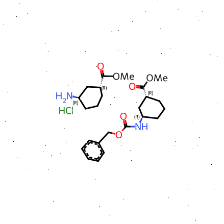 COC(=O)[C@@H]1CCC[C@@H](N)C1.COC(=O)[C@@H]1CCC[C@@H](NC(=O)OCc2ccccc2)C1.Cl